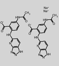 CC(=O)Nc1ccc(Nc2ccc3[nH]nnc3n2)c(C(=O)[O-])c1.CC(=O)Nc1ccc(Nc2ccc3[nH]nnc3n2)c(C(=O)[O-])c1.[Na+].[Na+]